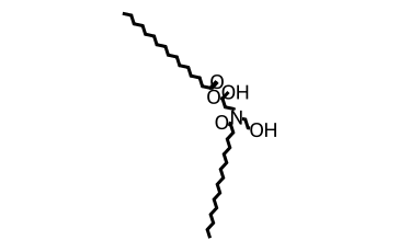 CCCCCCCCCCCCCCCC(=O)OC(O)CCN(CCO)C(=O)CCCCCCCCCCCCCCC